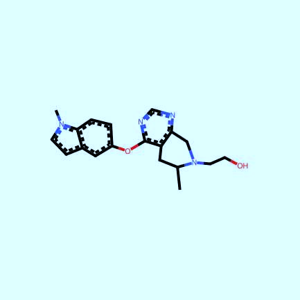 CC1Cc2c(ncnc2Oc2ccc3c(ccn3C)c2)CN1CCO